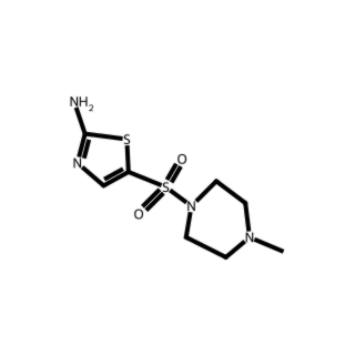 CN1CCN(S(=O)(=O)c2cnc(N)s2)CC1